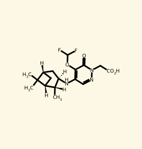 C[C@@H]1[C@H]2C[C@@H](C[C@H]1Nc1cnn(CC(=O)O)c(=O)c1OC(F)F)C2(C)C